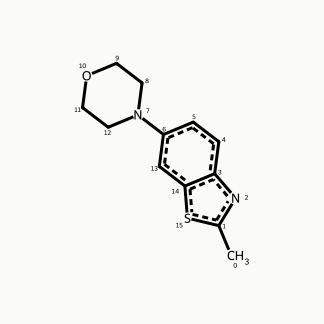 Cc1nc2ccc(N3CCOCC3)cc2s1